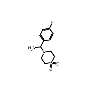 NC(c1ccc(F)cc1)N1CCS(=O)(=O)CC1